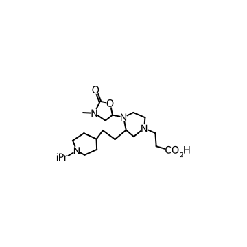 CC(C)N1CCC(CCC2CN(CCC(=O)O)CCN2C2CN(C)C(=O)O2)CC1